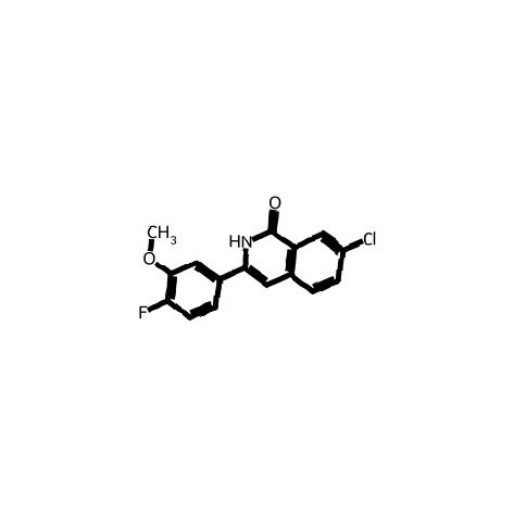 COc1cc(-c2cc3ccc(Cl)cc3c(=O)[nH]2)ccc1F